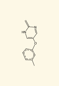 C=C1N=CC(Oc2cccc(C)c2)=CN1